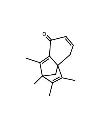 CC1=C(C)C23CC=CC(=O)C2=C(C)C1(C)C3